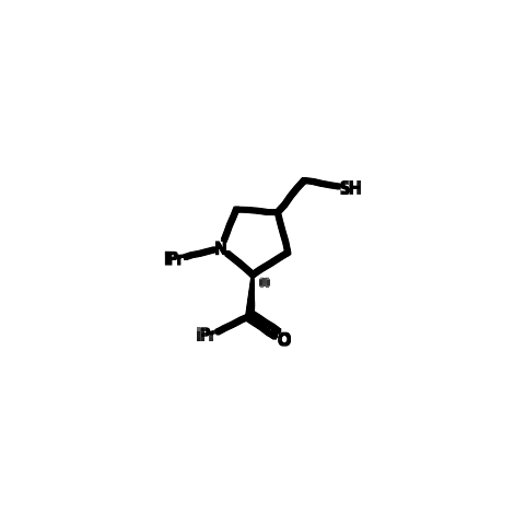 CC(C)C(=O)[C@@H]1CC(CS)CN1C(C)C